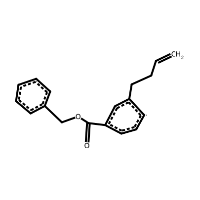 C=CCCc1[c]ccc(C(=O)OCc2ccccc2)c1